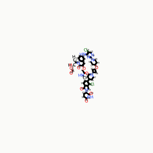 CNC(=O)COc1cc2cc(Nc3nc(N4CCC(OC5CC(N6CCC(c7ccc8c(c7Cl)CN(C7CCC(=O)NC7=O)C8=O)CC6)C5)CC4)ncc3Cl)ccc2n(C(C)C)c1=O.O=CO